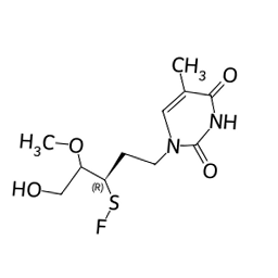 COC(CO)[C@@H](CCn1cc(C)c(=O)[nH]c1=O)SF